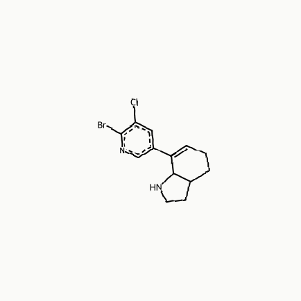 Clc1cc(C2=CCCC3CCNC23)cnc1Br